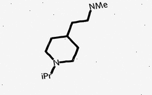 CNCCC1CCN(C(C)C)CC1